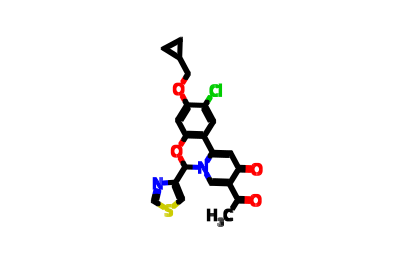 CC(=O)c1cn2c(cc1=O)-c1cc(Cl)c(OCC3CC3)cc1OC2c1cscn1